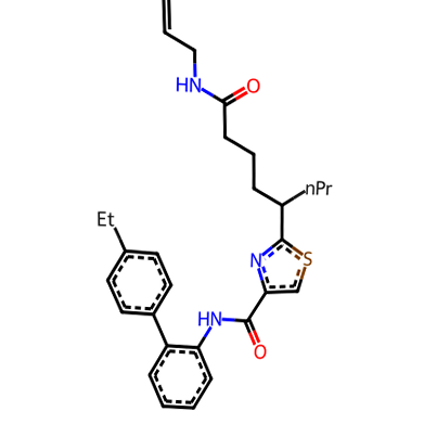 C=CCNC(=O)CCCC(CCC)c1nc(C(=O)Nc2ccccc2-c2ccc(CC)cc2)cs1